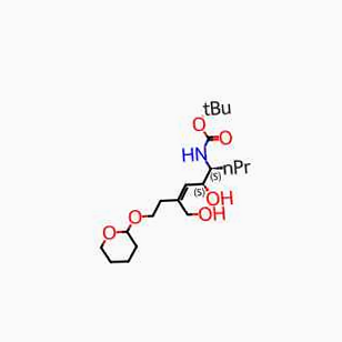 CCC[C@H](NC(=O)OC(C)(C)C)[C@@H](O)C=C(CO)CCOC1CCCCO1